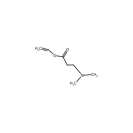 C=COC(=O)CCN(C)C